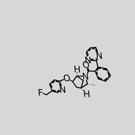 C[C@@H]1[C@H]2C[C@@H](Oc3ccc(CF)cn3)[C@H](C2)N1C(=O)c1ccccc1-c1ncccn1